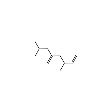 C=CC(C)CC(=C)CC(C)C